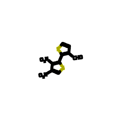 O=Cc1ccsc1-c1scc([N+](=O)[O-])c1[N+](=O)[O-]